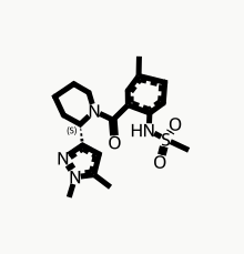 Cc1ccc(NS(C)(=O)=O)c(C(=O)N2CCCC[C@H]2c2cc(C)n(C)n2)c1